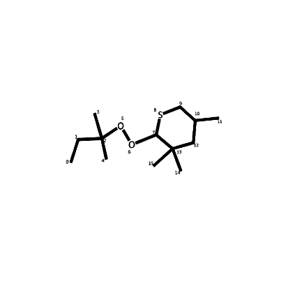 CCC(C)(C)OOC1SCC(C)CC1(C)C